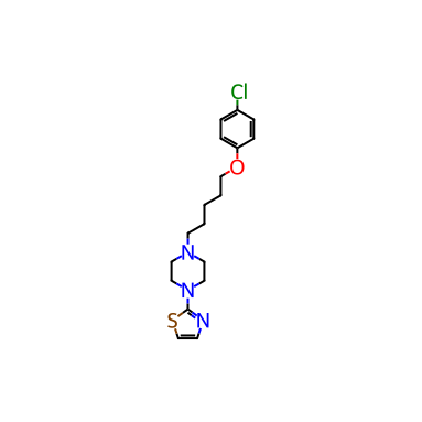 Clc1ccc(OCCCCCN2CCN(c3nccs3)CC2)cc1